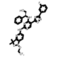 CC1(C)OB(OCC(F)(F)F)c2ccc(Nc3ncc(-c4nc(-c5cccc(F)c5)no4)c(N[C@H](CO)c4ccccc4)n3)nc21